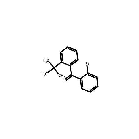 BC(C)(C)c1ccccc1C(=O)c1ccccc1CC